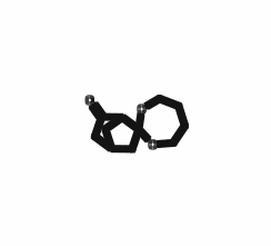 O=C1CC2CC1C1(C2)OCCCCO1